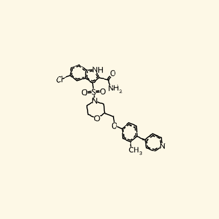 Cc1cc(OCC2CN(S(=O)(=O)c3c(C(N)=O)[nH]c4ccc(Cl)cc34)CCO2)ccc1-c1ccncc1